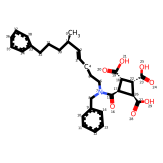 C[C@@H](/C=C/CCCN(Cc1ccccc1)C(=O)[C@H]1[C@H](C(=O)O)[C@H](C(=O)O)[C@H]1C(=O)O)CCCc1ccccc1